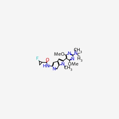 COc1nc(N(C)C)nc(OC)c1-c1cc2cc(NC(=O)C3CC3F)ncc2n1C